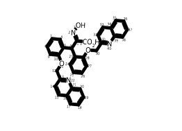 O=C(O)C(=NO)C(c1ccccc1OCc1ccc2ccccc2n1)c1ccccc1OCc1ccc2ccccc2n1